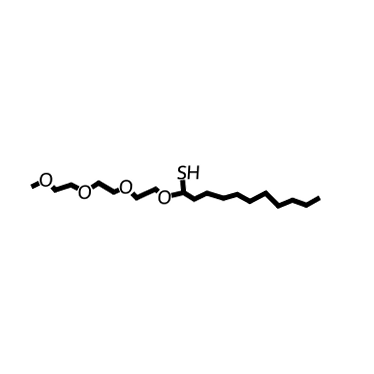 CCCCCCCCCCC(S)OCCOCCOCCOC